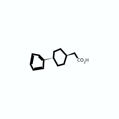 O=C(O)C[C@H]1CC[C@H](c2ccccc2)CC1